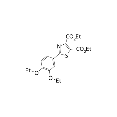 CCOC(=O)c1nc(-c2ccc(OCC)c(OCC)c2)sc1C(=O)OCC